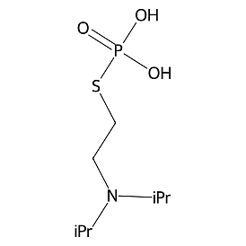 CC(C)N(CCSP(=O)(O)O)C(C)C